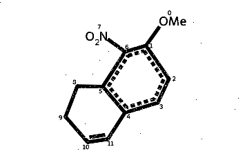 COc1ccc2c(c1[N+](=O)[O-])CC[C]=C2